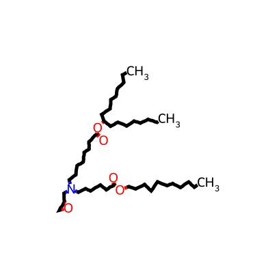 CCCCCCCCCCCOC(=O)CCCCCN(CCCCCCCC(=O)OC(CCCCCCCC)CCCCCCCC)CC1CO1